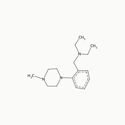 CCN(CC)Cc1ccccc1N1CCN(C)CC1